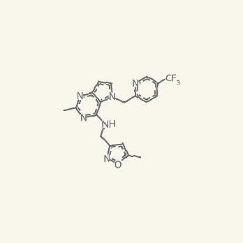 Cc1nc(NCc2cc(C)on2)c2c(ccn2Cc2ccc(C(F)(F)F)cn2)n1